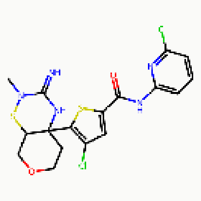 CN1SC2COCCC2(c2sc(C(=O)Nc3cccc(Cl)n3)cc2Cl)NC1=N